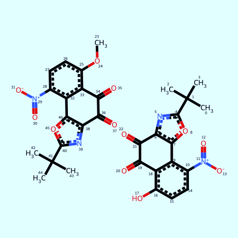 CC(C)(C)c1nc2c(o1)-c1c([N+](=O)[O-])ccc(O)c1C(=O)C2=O.COc1ccc([N+](=O)[O-])c2c1C(=O)C(=O)c1nc(C(C)(C)C)oc1-2